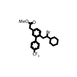 COC(=O)Cc1ccc(CC(Br)C2CCCCC2)c(-c2ccc(C(F)(F)F)cc2)c1